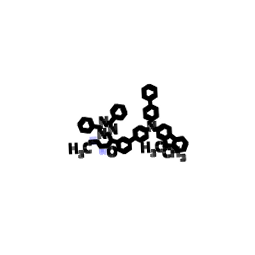 C/C=C\C=C1\Oc2ccc(-c3ccc(N(c4ccc(-c5ccccc5)cc4)c4ccc5c(c4)C(C)(C)c4ccccc4-5)cc3)cc2C1c1nc(-c2ccccc2)nc(-c2ccccc2)n1